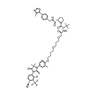 Cc1cc(N2C(=S)N(c3ccc(C#N)c(C(F)(F)F)c3F)C(=O)C2(C)C)cnc1OCCCCOCCCOCC(=O)N[C@H](C(=O)N1CCC[C@H]1C(=O)NCc1ccc(-c2scnc2C)cc1)C(C)(C)C